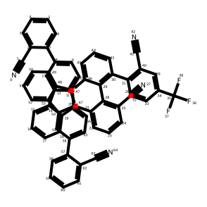 N#Cc1ccccc1-c1ccc2c(c1)c1ccccc1n2-c1cccc(C#N)c1-c1c(-c2ccc(C(F)(F)F)cc2C#N)cccc1-n1c2ccccc2c2cc(-c3ccccc3C#N)ccc21